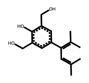 CC(C)=CC(=C(C)C)c1cc(CO)c(O)c(CO)c1